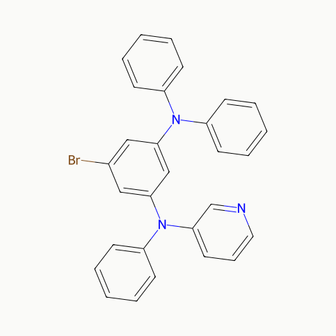 Brc1cc(N(c2ccccc2)c2ccccc2)cc(N(c2ccccc2)c2cccnc2)c1